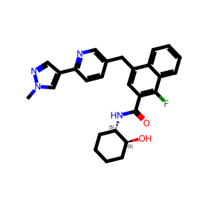 Cn1cc(-c2ccc(Cc3cc(C(=O)N[C@H]4CCCC[C@@H]4O)c(F)c4ccccc34)cn2)cn1